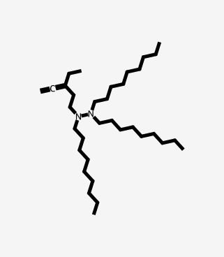 C=C=C(CC)CCN(CCCCCCCCC)N(CCCCCCCCC)CCCCCCCCC